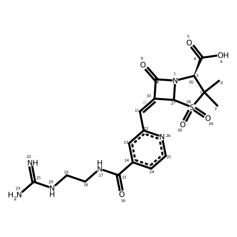 CC1(C)[C@H](C(=O)O)N2C(=O)/C(=C/c3cc(C(=O)NCCNC(=N)N)ccn3)C2S1(=O)=O